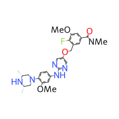 CNC(=O)c1cc(COc2cnc(Nc3ccc(N4C[C@@H](C)N[C@@H](C)C4)c(OC)c3)nc2)c(F)c(OC)c1